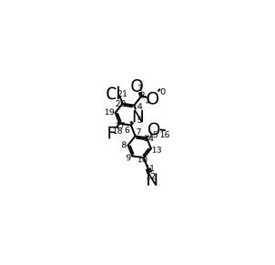 COC(=O)c1nc(-c2ccc(C#N)cc2OC)c(F)cc1Cl